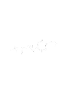 CC(C)(C)OC(=O)NNc1ccc(CBr)cn1